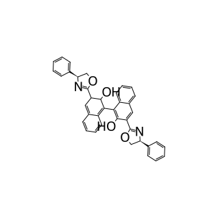 Oc1c(C2=N[C@@H](c3ccccc3)CO2)cc2ccccc2c1C1=c2ccccc2=CC(C2=N[C@@H](c3ccccc3)CO2)C1O